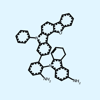 Nc1ccc2c(c1)c1c(n2-c2c(N)cccc2-c2ccc3c4c5oc6ccccc6c5ccc4n(-c4ccccc4)c3c2)C=CCC1